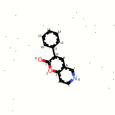 O=c1oc2ccncc2cc1-c1ccccc1